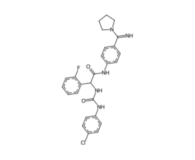 N=C(c1ccc(NC(=O)C(NC(=O)Nc2ccc(Cl)cc2)c2ccccc2F)cc1)N1CCCC1